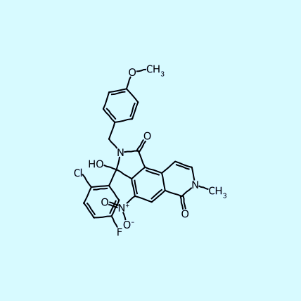 COc1ccc(CN2C(=O)c3c(c([N+](=O)[O-])cc4c(=O)n(C)ccc34)C2(O)c2cc(F)ccc2Cl)cc1